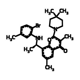 Cc1ccc(Br)c(N[C@H](C)c2cc(C)cc3c(=O)c(C)c(N4CCC(C)(C)CC4)oc23)c1